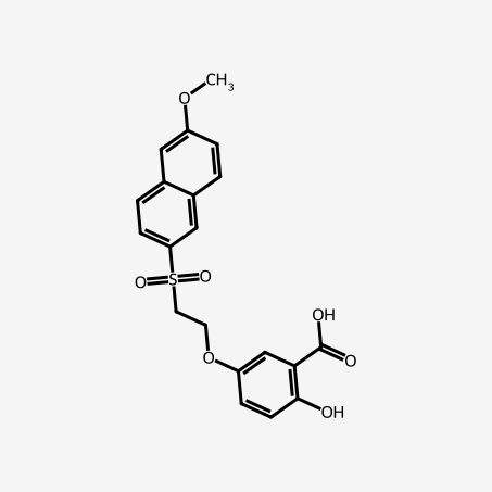 COc1ccc2cc(S(=O)(=O)CCOc3ccc(O)c(C(=O)O)c3)ccc2c1